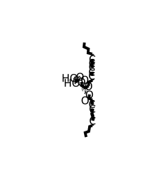 CCCCC=C=C=C=C=C=CC(=O)OC[C@H](COP(=O)(O)O)OC(=O)C=C=C=C=C=C=CCCCC